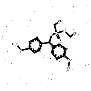 CCOP(=O)(CC)OC(c1ccc(OC)cc1)c1ccc(OC)cc1